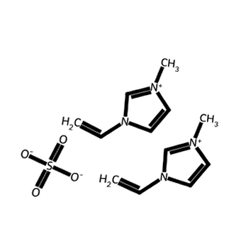 C=Cn1cc[n+](C)c1.C=Cn1cc[n+](C)c1.O=S(=O)([O-])[O-]